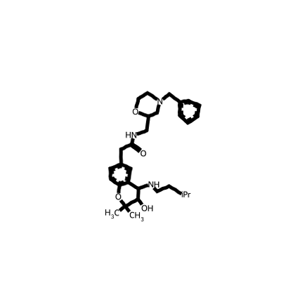 CC(C)CCNC1c2cc(CC(=O)NCC3CN(Cc4ccccc4)CCO3)ccc2OC(C)(C)C1O